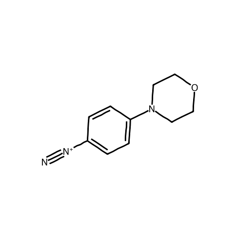 N#[N+]c1ccc(N2CCOCC2)cc1